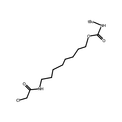 CC(C)(C)NC(=O)OCCCCCCCCNC(=O)CCl